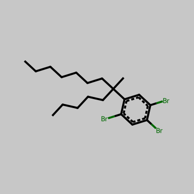 CCCCCCCC(C)(CCCCC)c1cc(Br)c(Br)cc1Br